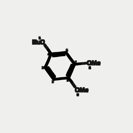 COc1ccc(OCC(C)C)cc1OC